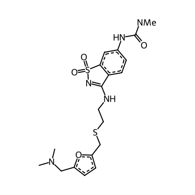 CNC(=O)Nc1ccc2c(c1)S(=O)(=O)N=C2NCCSCc1ccc(CN(C)C)o1